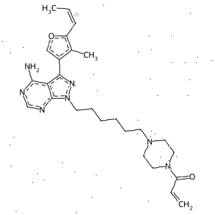 C=CC(=O)N1CCN(CCCCCCn2nc(-c3coc(/C=C\C)c3C)c3c(N)ncnc32)CC1